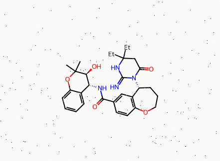 CCC1(CC)CC(=O)N([C@@H]2CCCOc3ccc(C(=O)N[C@@H]4c5ccccc5OC(C)(C)[C@H]4O)cc32)C(=N)N1